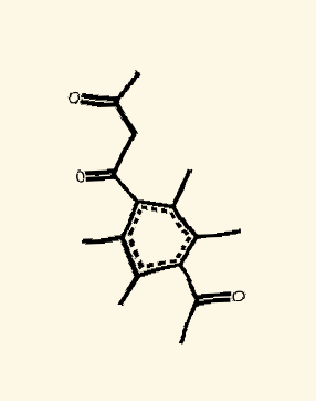 CC(=O)CC(=O)c1c(C)c(C)c(C(C)=O)c(C)c1C